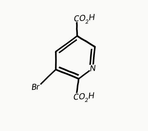 O=C(O)c1cnc(C(=O)O)c(Br)c1